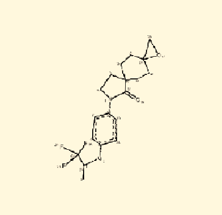 C[C@H](Oc1ccc(N2CCC3(CCC4(CC3)CO4)C2=O)cc1)C(F)(F)F